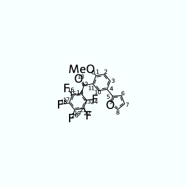 COc1ccc(-c2ccco2)cc1C(=O)c1c(F)c(F)c(F)c(F)c1F